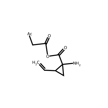 C=CC1CC1(N)C(=O)OC(=O)CC(C)=O